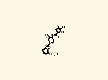 CCOC(=O)c1cccc2nc(N3CCC(NC(=O)c4nc(Cl)c(CC)[nH]4)C(N)C3)sc12